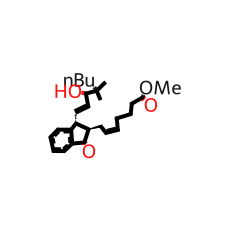 CCCCC(C)(C)C(O)C=C[C@H]1c2ccccc2C(=O)[C@@H]1C/C=C\CCCC(=O)OC